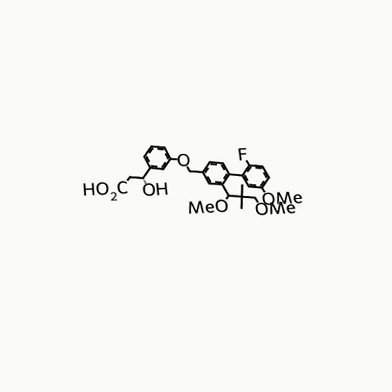 COCC(C)(C)C(OC)c1cc(COc2cccc([C@H](O)CC(=O)O)c2)ccc1-c1cc(OC)ccc1F